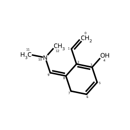 C=CC1=C(O)C=CCC1=CN(C)C